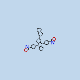 c1ccc2cc(-c3ccc4c(-c5ccc(-c6cocn6)cc5)c5ccccc5c(-c5ccc(-c6cocn6)cc5)c4c3)ccc2c1